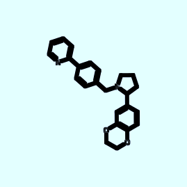 c1ccc(-c2ccc(CN3CCCC3c3ccc4c(c3)OCCO4)cc2)nc1